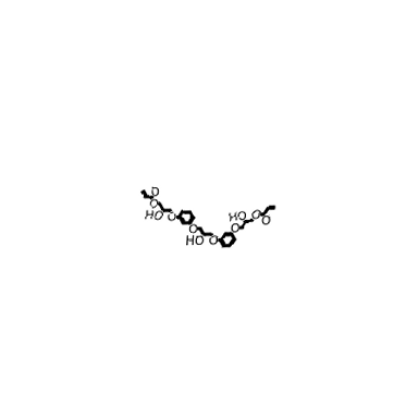 C=CC(=O)OCC(O)COc1cccc(OCC(O)COc2cccc(OCC(O)COC(=O)C=C)c2)c1